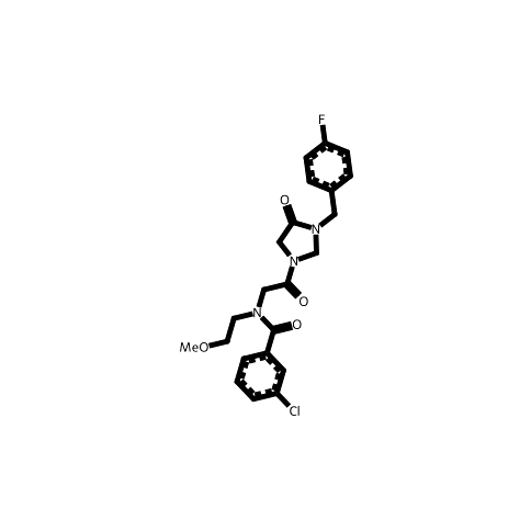 COCCN(CC(=O)N1CC(=O)N(Cc2ccc(F)cc2)C1)C(=O)c1cccc(Cl)c1